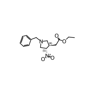 CCOC(=O)C[C@@H]1CN(Cc2ccccc2)C[C@H]1[N+](=O)[O-]